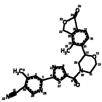 Cc1cc(-c2ncc(C(=O)N3CCOC(c4ccc5c(c4C)COC5=O)C3)s2)ncc1C#N